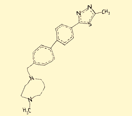 Cc1nnc(-c2ccc(-c3ccc(CN4CCCN(C)CC4)cc3)cc2)s1